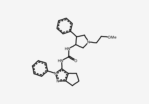 COCCN1CC(NC(=O)Nc2c3c(nn2-c2ccccc2)CCC3)C(c2ccccc2)C1